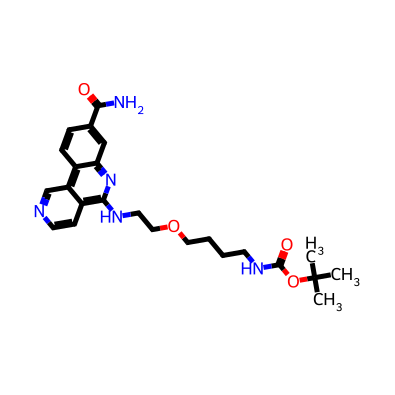 CC(C)(C)OC(=O)NCCCCOCCNc1nc2cc(C(N)=O)ccc2c2cnccc12